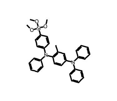 CO[Si](OC)(OC)c1ccc(N(c2ccccc2)c2ccc(N(c3ccccc3)c3ccccc3)cc2C)cc1